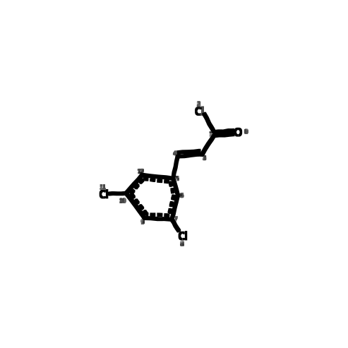 O=C(Cl)/C=C/c1cc(Cl)cc(Cl)c1